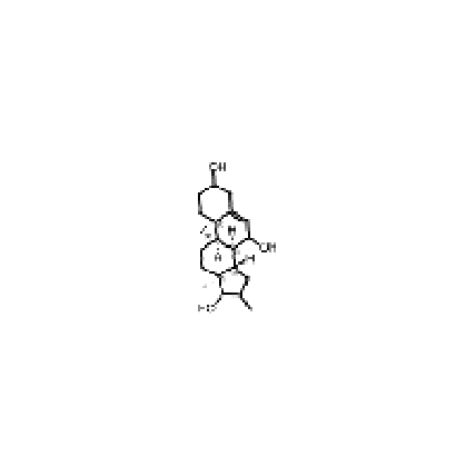 CC1C[C@H]2[C@@H]3C(O)C=C4CC(O)CC[C@]4(C)[C@@H]3CC[C@]2(C)C1O